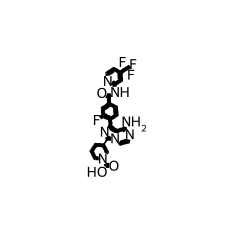 Nc1nccn2c([C@@H]3CCCN(C(=O)O)C3)nc(-c3ccc(C(=O)Nc4cc(C(F)(F)F)ccn4)cc3F)c12